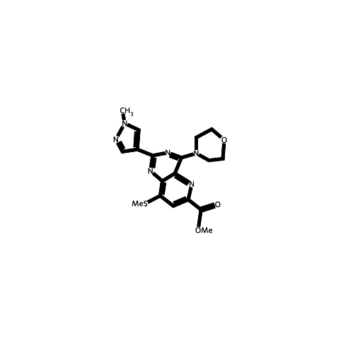 COC(=O)c1cc(SC)c2nc(-c3cnn(C)c3)nc(N3CCOCC3)c2n1